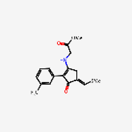 COC(=O)CNC1=C(c2cccc(C(F)(F)F)c2)C(=O)C(=CSC)C1